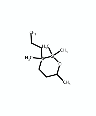 CC1CC[Si](C)(CCC(F)(F)F)[Si](C)(C)O1